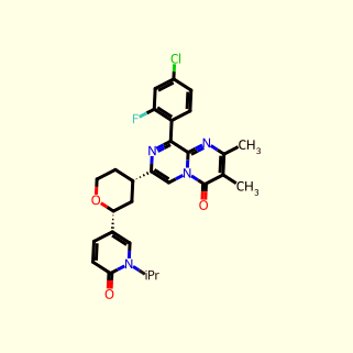 Cc1nc2c(-c3ccc(Cl)cc3F)nc([C@H]3CCO[C@@H](c4ccc(=O)n(C(C)C)c4)C3)cn2c(=O)c1C